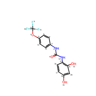 O=C(Nc1ccc(OC(F)(F)F)cc1)Nc1ccc(O)cc1O